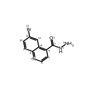 NNC(=O)c1ccnc2ccc(Br)cc12